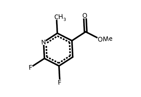 COC(=O)c1cc(F)c(F)nc1C